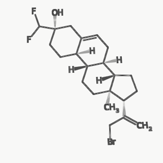 C=C(CBr)[C@H]1CC[C@H]2[C@@H]3CC=C4C[C@](O)(C(F)F)CC[C@@H]4[C@H]3CC[C@]12C